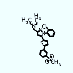 CCN(CC)Cc1cc(-c2ccc(-c3cccc(S(C)(=O)=O)c3)s2)n(-c2ccccc2Cl)n1